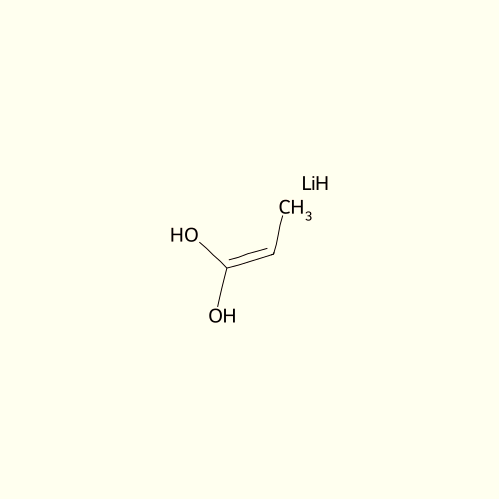 CC=C(O)O.[LiH]